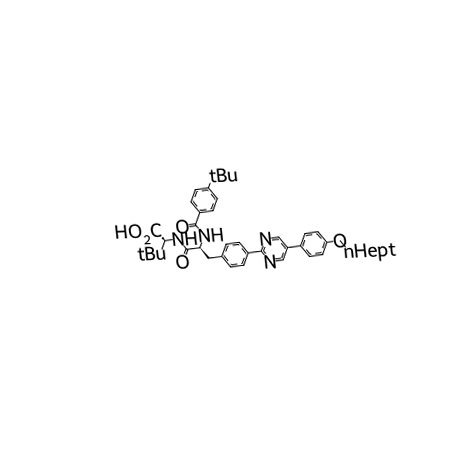 CCCCCCCOc1ccc(-c2cnc(-c3ccc(C[C@H](NC(=O)c4ccc(C(C)(C)C)cc4)C(=O)N[C@H](C(=O)O)C(C)(C)C)cc3)nc2)cc1